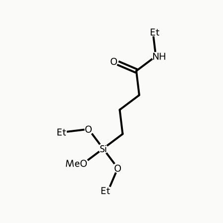 CCNC(=O)CCC[Si](OC)(OCC)OCC